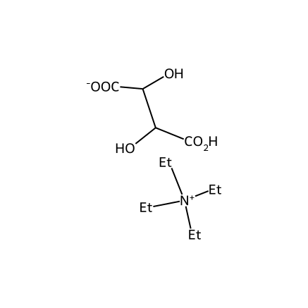 CC[N+](CC)(CC)CC.O=C([O-])C(O)C(O)C(=O)O